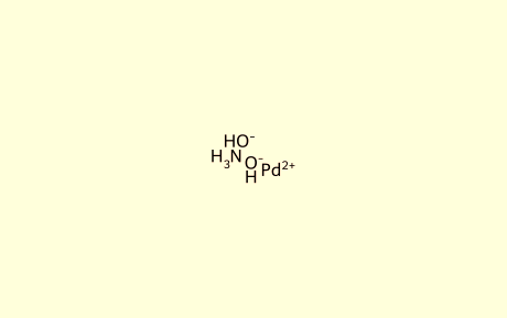 N.[OH-].[OH-].[Pd+2]